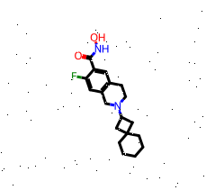 O=C(NO)c1cc2c(cc1F)CN(C1CC3(CCCCC3)C1)CC2